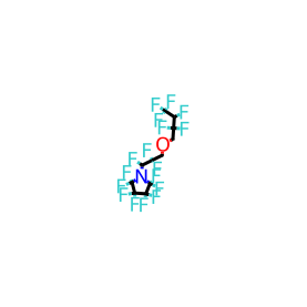 FC(N1C(F)(F)C(F)(F)C(F)(F)C1(F)F)C(F)(F)COCC(F)(F)C(F)C(F)(F)F